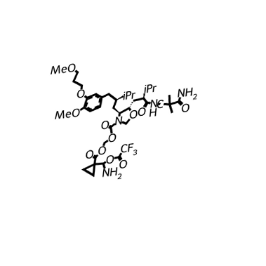 COCCCOc1cc(C[C@H](C[C@H]2[C@H](C[C@H](C(=O)NCC(C)(C)C(N)=O)C(C)C)OCN2C(=O)OCOC(=O)C2(C(N)OC(=O)C(F)(F)F)CC2)C(C)C)ccc1OC